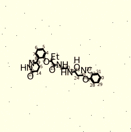 CCC(Oc1ccccc1C1=NNC(=O)CC1)C(=O)NCCNC(O)CCOc1ccccc1C#N